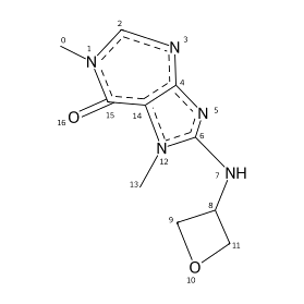 Cn1cnc2nc(NC3COC3)n(C)c2c1=O